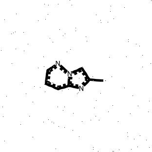 [CH2]c1cn2ncccc2n1